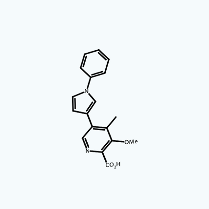 COc1c(C(=O)O)ncc(-c2ccn(-c3ccccc3)c2)c1C